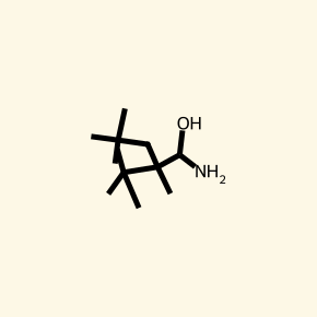 CC(C)(C)CC(C)(C(N)O)C(C)(C)C